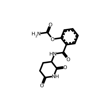 NC(=O)Oc1ccccc1C(=O)NC1CCC(=O)NC1=O